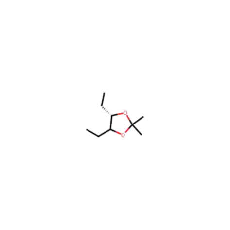 CCC1OC(C)(C)O[C@H]1CC